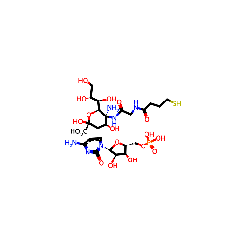 N[C@]1(NC(=O)CNC(=O)CCCS)[C@@H](O)C[C@@](O)(C(=O)O)O[C@H]1[C@H](O)[C@H](O)CO.Nc1ccn([C@@H]2O[C@H](COP(=O)(O)O)[C@@H](O)[C@H]2O)c(=O)n1